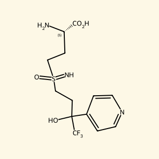 N=S(=O)(CC[C@H](N)C(=O)O)CCC(O)(c1ccncc1)C(F)(F)F